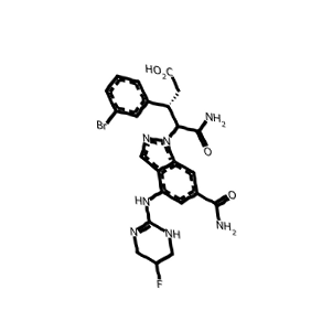 NC(=O)c1cc(NC2=NCC(F)CN2)c2cnn(C(C(N)=O)[C@@H](CC(=O)O)c3cccc(Br)c3)c2c1